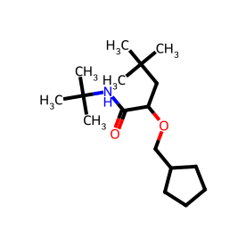 CC(C)(C)CC(OCC1CCCC1)C(=O)NC(C)(C)C